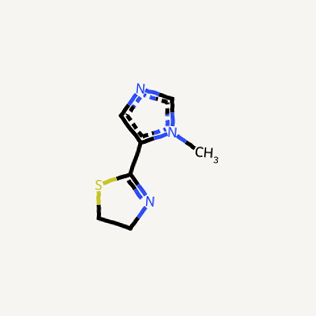 Cn1cncc1C1=NCCS1